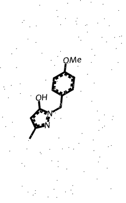 COc1ccc(Cn2nc(C)cc2O)cc1